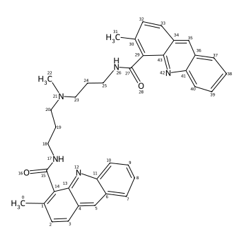 Cc1ccc2cc3ccccc3nc2c1C(=O)NCCCN(C)CCCNC(=O)c1c(C)ccc2cc3ccccc3nc12